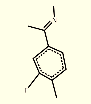 C/N=C(\C)c1ccc(C)c(F)c1